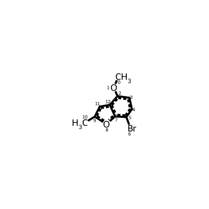 COc1ccc(Br)c2oc(C)cc12